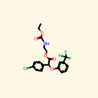 CCOC(=O)NCCOC(=O)C(Oc1cccc(C(F)(F)F)c1)c1ccc(Cl)cc1